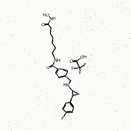 O=C(CCCCCCNC(=O)c1ccc(CNC2CC2c2ccc(F)cc2)cc1)NO.O=C(O)C(F)(F)F